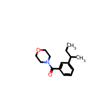 CCC(C)c1cccc(C(=O)N2CCOCC2)c1